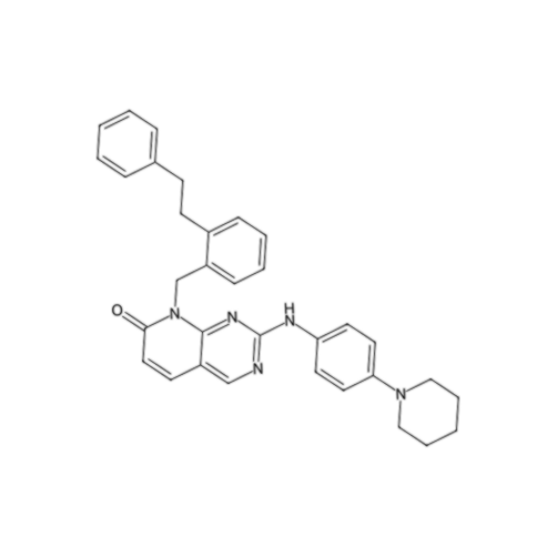 O=c1ccc2cnc(Nc3ccc(N4CCCCC4)cc3)nc2n1Cc1ccccc1CCc1ccccc1